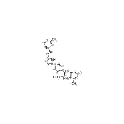 CCc1cc(Cl)cc(C)c1NC(Cc1ccc(-c2ccc(CNc3cc(C)ccn3)[nH]2)cc1)C(=O)O